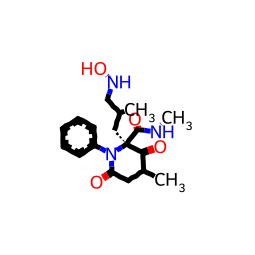 CNC(=O)[C@@]1(CC(C)CNO)C(=O)C(C)CC(=O)N1c1ccccc1